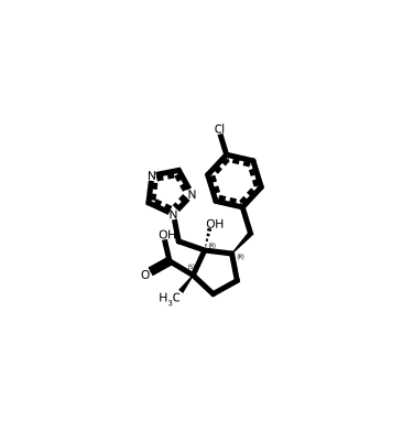 C[C@]1(C(=O)O)CC[C@H](Cc2ccc(Cl)cc2)[C@]1(O)Cn1cncn1